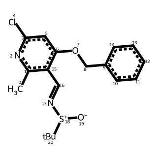 Cc1nc(Cl)cc(OCc2ccccc2)c1C=N[S+]([O-])C(C)(C)C